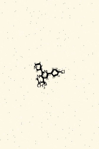 Cn1cnc2c(-c3cccnc3)nc(-c3ccc(Cl)cc3)cc2c1=O